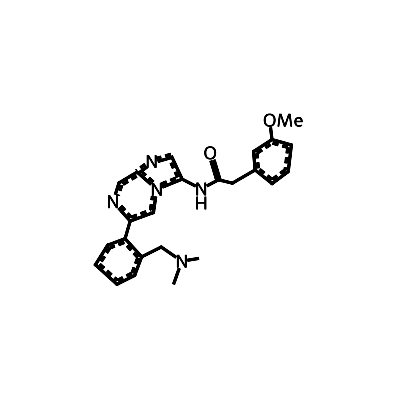 COc1cccc(CC(=O)Nc2cnc3cnc(-c4ccccc4CN(C)C)cn23)c1